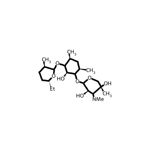 CC[C@@H]1CC[C@@H](C)C(OC2[C@H](O)C(OC3OC[C@](C)(O)C(NC)[C@H]3O)[C@H](C)C[C@@H]2C)O1